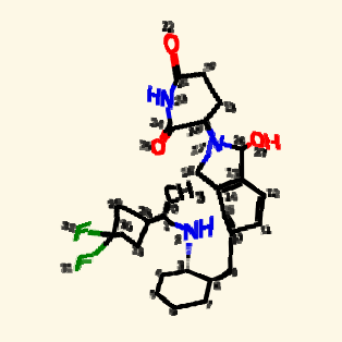 C[C@@H](N[C@H]1CCCC[C@@H]1Cc1ccc2c(c1)CN(C1CCC(=O)NC1=O)C2O)C1CC(F)(F)C1